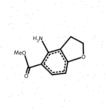 COC(=O)c1ccc2c(c1N)CCO2